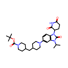 CC(C)n1c(=O)n(C2CCC(=O)NC2=O)c2ccc(N3CCC(CC4CCN(C(=O)OC(C)(C)C)CC4)CC3)cc21